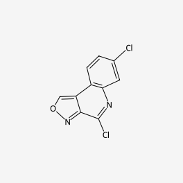 Clc1ccc2c(c1)nc(Cl)c1nocc12